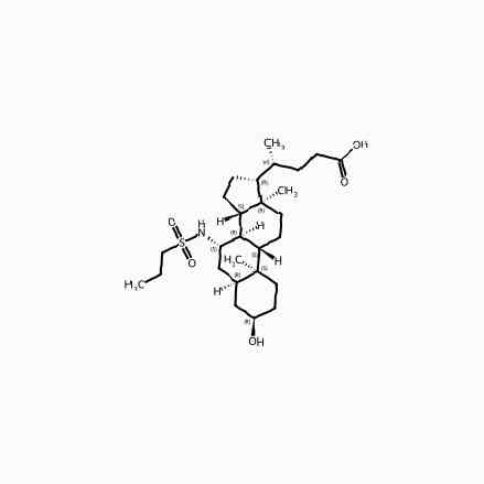 CCCS(=O)(=O)N[C@H]1C[C@@H]2C[C@H](O)CC[C@]2(C)[C@H]2CC[C@]3(C)[C@@H]([C@H](C)CCC(=O)O)CC[C@H]3[C@H]12